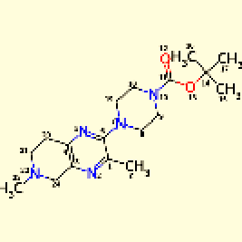 Cc1nc2c(nc1N1CCN(C(=O)OC(C)(C)C)CC1)CCN(C)C2